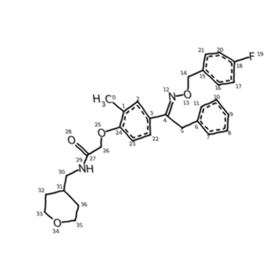 Cc1cc(C(Cc2ccccc2)=NOCc2ccc(F)cc2)ccc1OCC(=O)NCC1CCOCC1